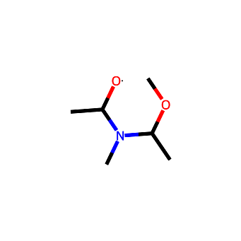 COC(C)N(C)C(C)[O]